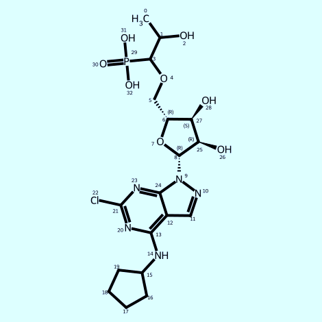 CC(O)C(OC[C@H]1O[C@@H](n2ncc3c(NC4CCCC4)nc(Cl)nc32)[C@H](O)[C@@H]1O)P(=O)(O)O